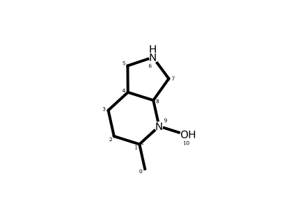 C[C]1CCC2CNCC2N1O